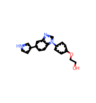 OCCOc1ccc(-n2cnc3cc(-c4cc[nH]c4)ccc32)cc1